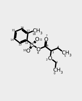 CCOC(CC)C(=O)OS(=O)(=O)c1ccccc1C